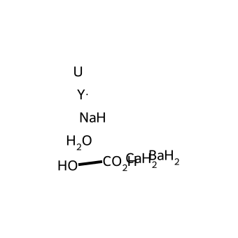 O.O=C(O)O.[BaH2].[CaH2].[NaH].[U].[Y]